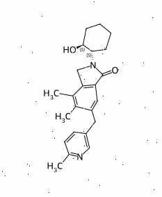 Cc1ccc(Cc2cc3c(c(C)c2C)CN([C@H]2CCCC[C@@H]2O)C3=O)cn1